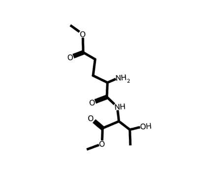 COC(=O)CCC(N)C(=O)NC(C(=O)OC)C(C)O